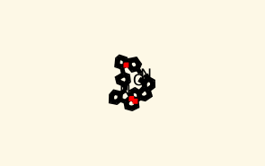 c1ccc(-c2ccc(N(c3ccc4ccc5ccc6nc(-c7ccccc7)oc6c5c4c3)c3ccccc3-c3ccccc3)cc2)cc1